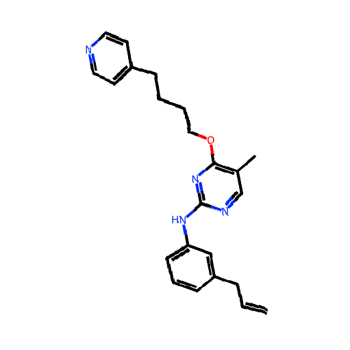 C=CCc1cccc(Nc2ncc(C)c(OCCCCc3ccncc3)n2)c1